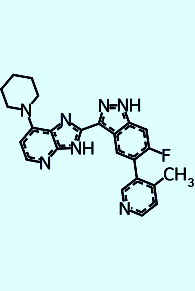 Cc1ccncc1-c1cc2c(-c3nc4c(N5CCCCC5)ccnc4[nH]3)n[nH]c2cc1F